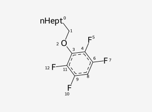 CCCCCCCCOc1c(F)c(F)cc(F)c1F